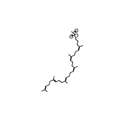 CC(C)=CCCC(C)=CCCC(C)=CCCC=C(C)CCC=C(C)CCC=C(C)CCCOS(C)(=O)=O